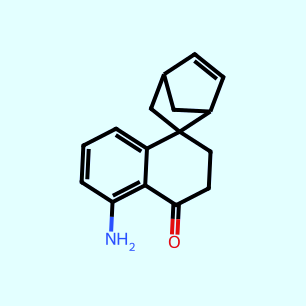 Nc1cccc2c1C(=O)CCC21CC2C=CC1C2